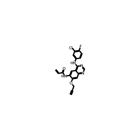 C#CCOc1cc2ncnc(Nc3ccc(F)c(Cl)c3)c2cc1NC(=O)C=C